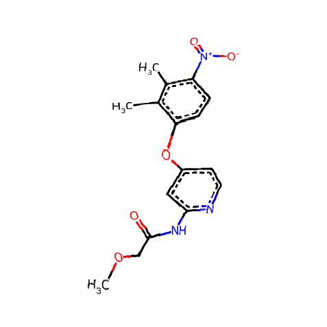 COCC(=O)Nc1cc(Oc2ccc([N+](=O)[O-])c(C)c2C)ccn1